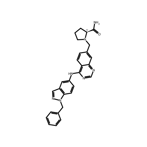 NC(=O)[C@@H]1CCCN1Cc1ccc2c(Nc3ccc4c(cnn4Cc4ccccc4)c3)ncnc2c1